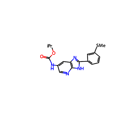 CSc1cccc(-c2nc3cc(NC(=O)OC(C)C)cnc3[nH]2)c1